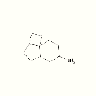 BC1CCC23CCC2CCC3C1